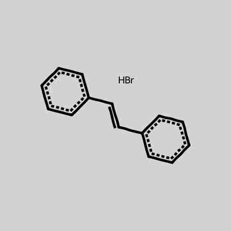 Br.C(=Cc1ccccc1)c1ccccc1